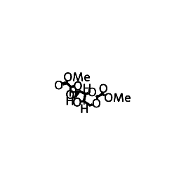 COC(=O)C1OC[C@H]2O[C@@H]3OC(C(=O)OC)O[C@@H]3[C@H]2O1